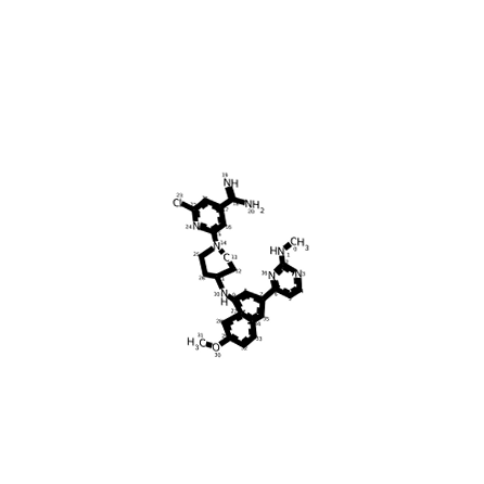 CNc1nccc(-c2cc(NC3CCN(c4cc(C(=N)N)cc(Cl)n4)CC3)c3cc(OC)ccc3c2)n1